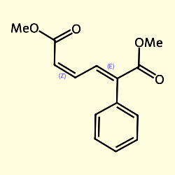 COC(=O)/C=C\C=C(\C(=O)OC)c1ccccc1